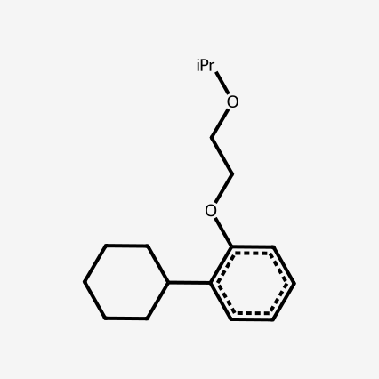 CC(C)OCCOc1ccccc1C1CCCCC1